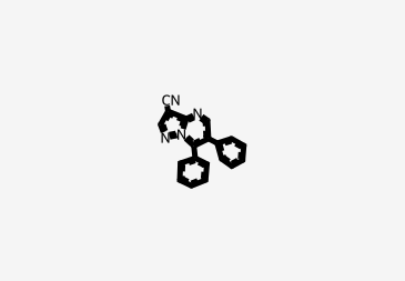 N#Cc1cnn2c(-c3ccccc3)c(-c3ccccc3)cnc12